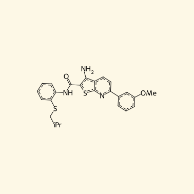 COc1cccc(-c2ccc3c(N)c(C(=O)Nc4ccccc4SCC(C)C)sc3n2)c1